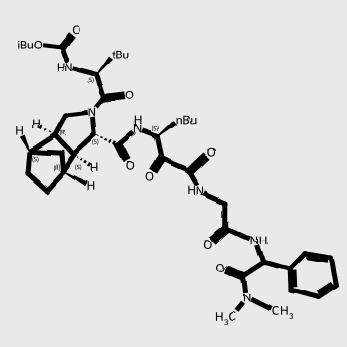 CCCC[C@H](NC(=O)[C@@H]1[C@H]2[C@@H]3CC[C@@H](C3)[C@H]2CN1C(=O)[C@@H](NC(=O)OCC(C)C)C(C)(C)C)C(=O)C(=O)NCC(=O)NC(C(=O)N(C)C)c1ccccc1